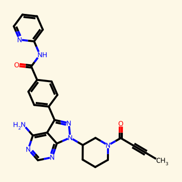 CC#CC(=O)N1CCCC(n2nc(-c3ccc(C(=O)Nc4ccccn4)cc3)c3c(N)ncnc32)C1